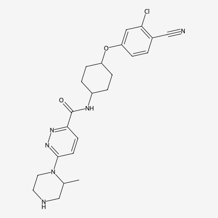 CC1CNCCN1c1ccc(C(=O)NC2CCC(Oc3ccc(C#N)c(Cl)c3)CC2)nn1